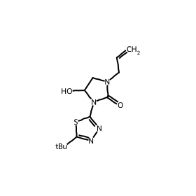 C=CCN1CC(O)N(c2nnc(C(C)(C)C)s2)C1=O